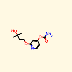 CC(C)(O)CCOc1cc(OC(N)=O)ccn1